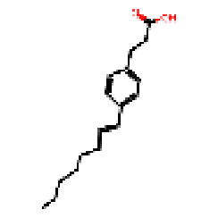 CCCCCC/C=C/c1ccc(CCC(=O)O)cc1